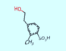 Cc1cc(CCO)ccc1S(=O)(=O)O